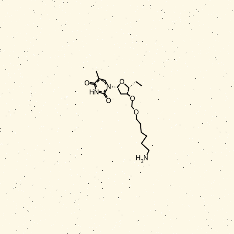 CC[C@H]1O[C@@H](n2cc(C)c(=O)[nH]c2=O)CC1OCOCCCCCCN